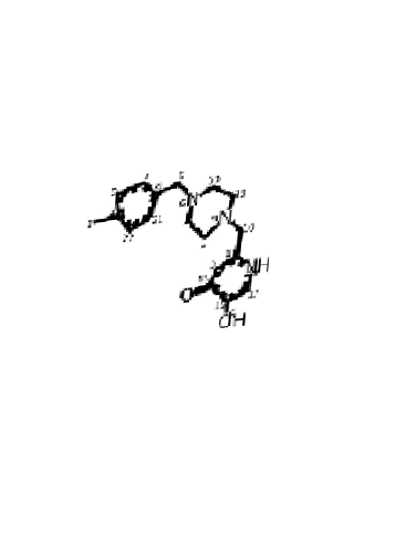 Cc1ccc(CN2CCN(Cc3cc(=O)c(O)c[nH]3)CC2)cc1